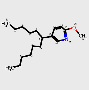 CCCCCCC(CCCCC)c1ccc(OC)nc1